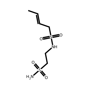 CC=CCS(=O)(=O)NCCS(N)(=O)=O